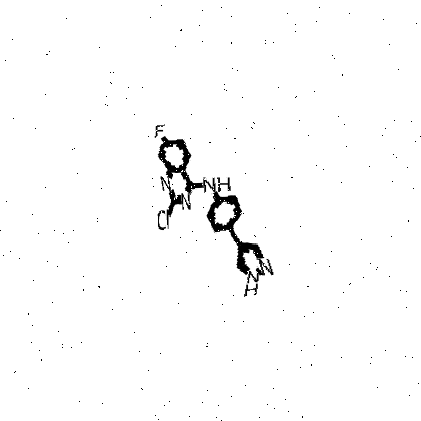 Fc1ccc2c(Nc3ccc(-c4cn[nH]c4)cc3)nc(Cl)nc2c1